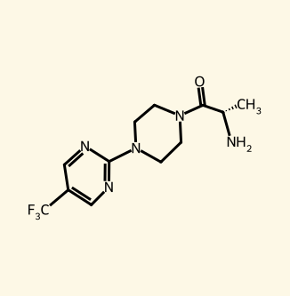 C[C@H](N)C(=O)N1CCN(c2ncc(C(F)(F)F)cn2)CC1